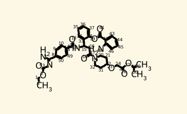 CCOC(=O)N=C(N)c1ccc(C(=O)NC(CC(=O)N2CCC(OCC(=O)OC(C)C)CC2)c2ccccc2OC(=O)c2ccccc2N)cc1